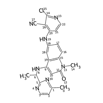 Cc1ccnc(C(C)Nc2cc(=O)n(C)c3ccc(Nc4ccnc(Cl)c4C#N)cc23)n1